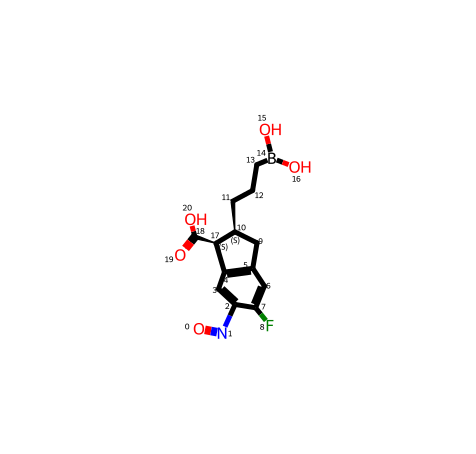 O=Nc1cc2c(cc1F)C[C@H](CCCB(O)O)[C@@H]2C(=O)O